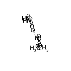 CC1(C)OCc2cc(C3CN(CCCCCCOCCOCc4cccc(NC(=O)NC5CCCCC5)c4)C(=O)O3)ccc2O1